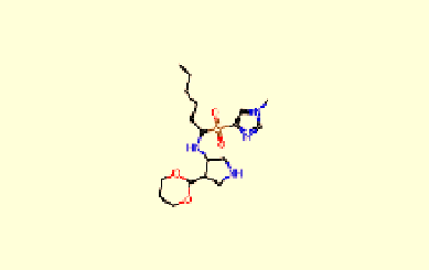 CCCCCC(NC1CNCC1C1OCCCO1)S(=O)(=O)c1cn(C)cn1